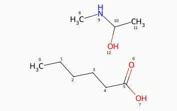 CCCCCC(=O)O.CNC(C)O